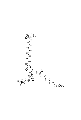 CCCCCCCCCCCCCCCCCC(=O)OCC(COP(=O)([O-])OCC[N+](C)(C)C)OC(=O)CCCCCCCCCCC1(CCCC)N=N1